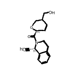 C#C[C@H]1c2ccccc2CCN1C(=O)[C@@H]1CCC(CO)CO1